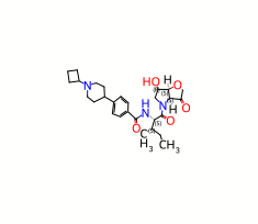 CC[C@H](C)[C@H](NC(=O)c1ccc(C2CCN(C3CCC3)CC2)cc1)C(=O)N1C[C@@H](O)[C@H]2OCC(=O)[C@H]21